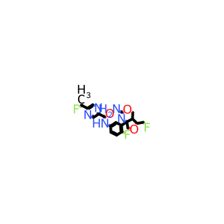 CC(F)c1cnc(C(=O)Nc2ccc(F)c(C34COC(CF)C3COC(N)=N4)c2)cn1